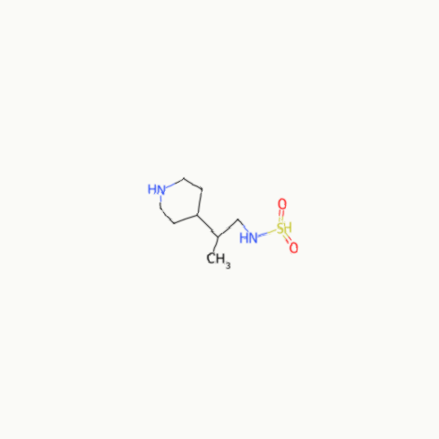 CC(CN[SH](=O)=O)C1CCNCC1